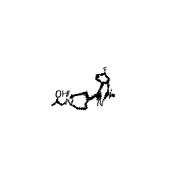 CC(O)CN1CCC(c2nn(C)c3cc(F)ccc23)CC1